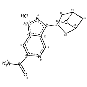 Cl.NC(=O)c1cc2[nH]nc(N3CC4CC(C3)O4)c2cn1